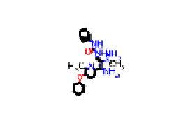 Cc1nc(/C(N)=C(\CNC(=O)NC2CC3CCC2C3)N(C)N)ccc1OC1CCCCC1